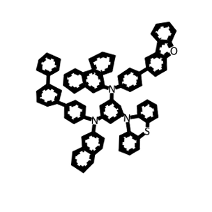 c1ccc(-c2cccc(-c3ccc(N(c4cc(N5c6ccccc6Sc6ccccc65)cc(N(c5ccc(-c6ccc7oc8ccccc8c7c6)cc5)c5cc6ccccc6c6ccccc56)c4)c4ccc5ccccc5c4)cc3)c2)cc1